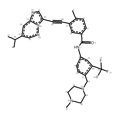 Cc1ccc(C(=O)Nc2ccc(CN3CCN(C)CC3)c(C(F)(F)F)c2)cc1C#Cc1cnc2cc(C(C)C)cnn12